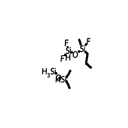 CCC[Si](C)(F)O[SiH](F)F.C[SiH](C)O[SiH3]